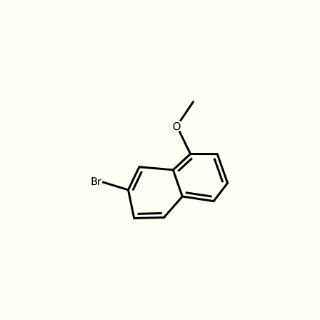 COc1cccc2ccc(Br)cc12